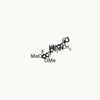 COc1cc(OC)c(F)c(COc2cnc(NC(=N)/C=C(/COC3CCCCO3)N(C)C)nc2)c1F